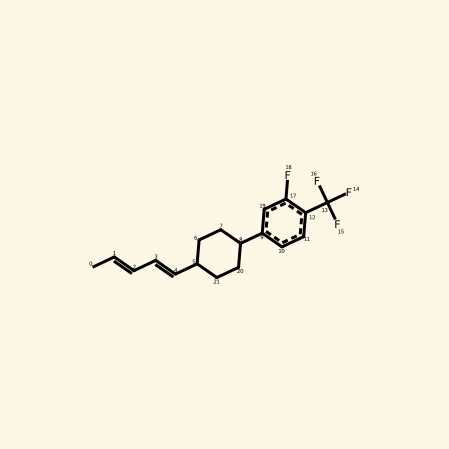 CC=CC=CC1CCC(c2ccc(C(F)(F)F)c(F)c2)CC1